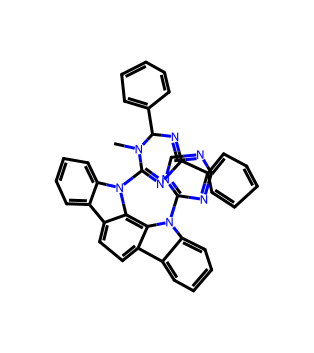 CN1C(n2c3ccccc3c3ccc4c5ccccc5n(-c5ncncn5)c4c32)=NC(c2ccccc2)=NC1c1ccccc1